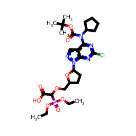 CCOP(=O)(OCC)C(OCC1CCC(n2ncc3c(N(C(=O)OC(C)(C)C)C4CCCC4)nc(Cl)nc32)O1)C(=O)O